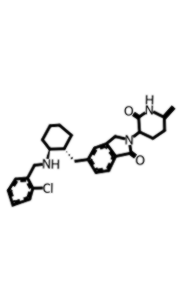 C=C1CCC(N2Cc3cc(C[C@H]4CCCC[C@@H]4NCc4ccccc4Cl)ccc3C2=O)C(=O)N1